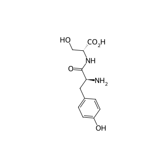 N[C@@H](Cc1ccc(O)cc1)C(=O)N[C@H](CO)C(=O)O